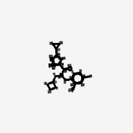 Cc1ccc(CN(CC2CCC2)C(=O)c2cc(C3CC3)n[nH]2)c(F)c1